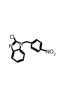 O=[N+]([O-])c1ccc(Cn2c(Cl)nc3ccccc32)cc1